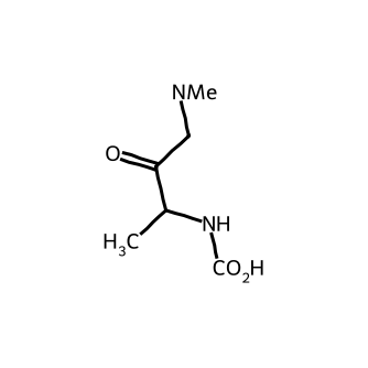 CNCC(=O)C(C)NC(=O)O